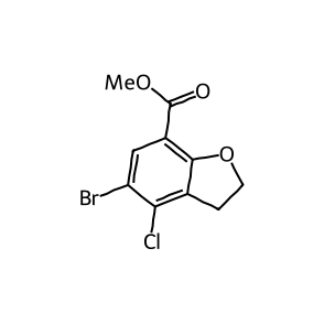 COC(=O)c1cc(Br)c(Cl)c2c1OCC2